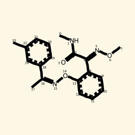 CNC(=O)/C(=N/OC)c1ccccc1O/N=C(/C)c1cccc(C)c1